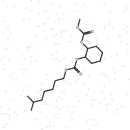 COC(=O)OC1CCCCC1OC(=O)OCCCCCC(C)C